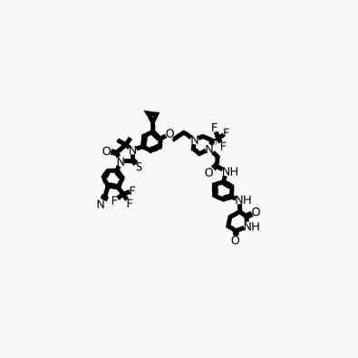 CC1(C)C(=O)N(c2ccc(C#N)c(C(F)(F)F)c2)C(=S)N1c1ccc(OCCN2CCN(CC(=O)Nc3cccc(NC4CCC(=O)NC4=O)c3)[C@H](C(F)(F)F)C2)c(C2CC2)c1